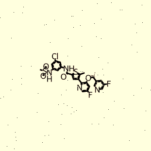 Cc1sc(C(=O)Nc2cc(Cl)cc(NS(C)(=O)=O)c2)cc1-c1ncc(F)cc1O[C@H](C)c1cncc(F)c1